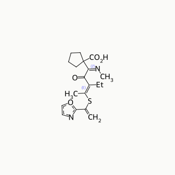 C=C(S/C(C)=C(\CC)C(=O)/C(=N\C)C1(C(=O)O)CCCC1)c1ncco1